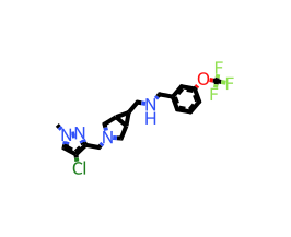 Cn1cc(Cl)c(CN2CC3C(CNCc4cccc(OC(F)(F)F)c4)C3C2)n1